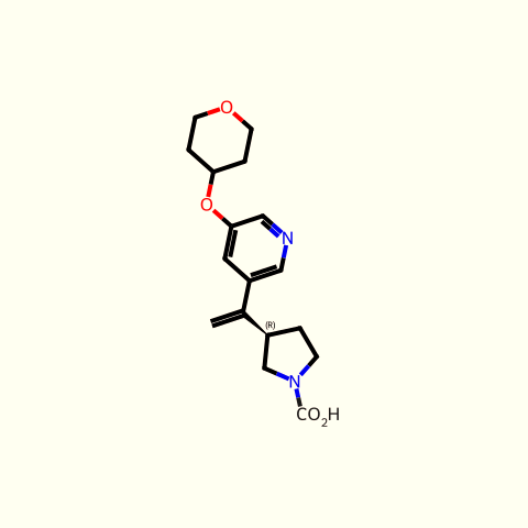 C=C(c1cncc(OC2CCOCC2)c1)[C@H]1CCN(C(=O)O)C1